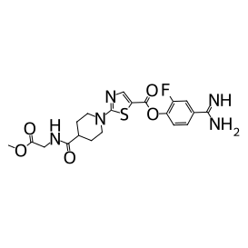 COC(=O)CNC(=O)C1CCN(c2ncc(C(=O)Oc3ccc(C(=N)N)cc3F)s2)CC1